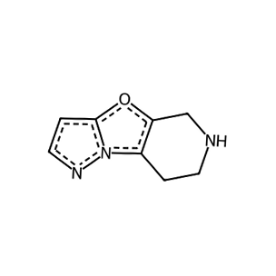 c1cc2oc3c(n2n1)CCNC3